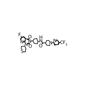 O=C(NC1CCC(n2c(=O)c3cc(F)cnc3n(C3CCSCC3)c2=O)CC1)C1CCN(c2ccc(C(F)(F)F)cn2)CC1